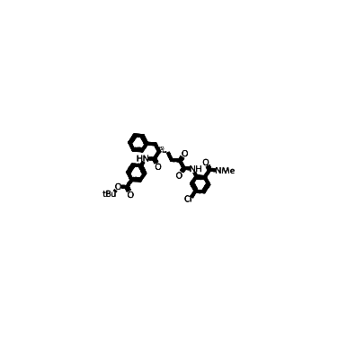 CNC(=O)c1ccc(Cl)cc1NC(=O)C(=O)CC[C@@H](Cc1ccccc1)C(=O)Nc1ccc(C(=O)OC(C)(C)C)cc1